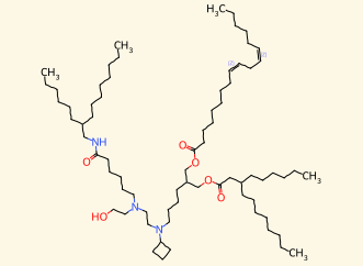 CCCCC/C=C\C/C=C\CCCCCCCC(=O)OCC(CCCCN(CCN(CCO)CCCCCC(=O)NCC(CCCCCC)CCCCCCCC)C1CCC1)COC(=O)CC(CCCCCC)CCCCCCCC